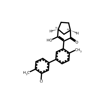 Cc1ccc(-c2ccc(C)c(C3=C(O)[C@H]4CC[C@H](C4)C3=O)c2)cc1Cl